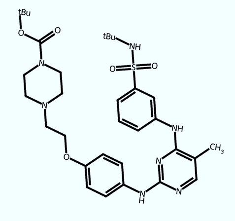 Cc1cnc(Nc2ccc(OCCN3CCN(C(=O)OC(C)(C)C)CC3)cc2)nc1Nc1cccc(S(=O)(=O)NC(C)(C)C)c1